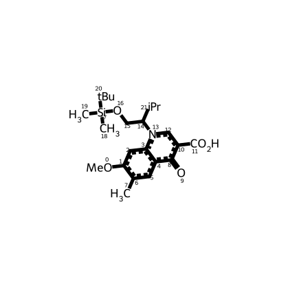 COc1cc2c(cc1C)c(=O)c(C(=O)O)cn2C(CO[Si](C)(C)C(C)(C)C)C(C)C